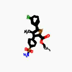 CCOC(=O)c1sc(-c2cccc(F)c2)c(C)c1-c1ccc(S(N)(=O)=O)cc1